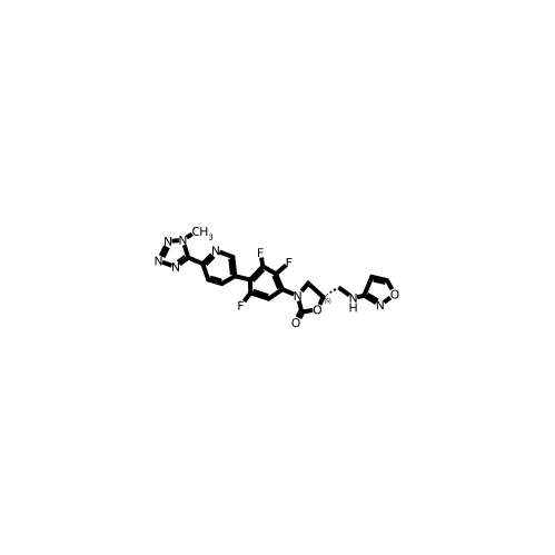 Cn1nnnc1-c1ccc(-c2c(F)cc(N3C[C@H](CNc4ccon4)OC3=O)c(F)c2F)cn1